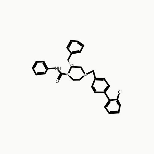 O=C(Nc1ccccc1)N1CCN(Cc2ccc(-c3ccccc3Cl)cc2)C[C@H]1Cc1ccccc1